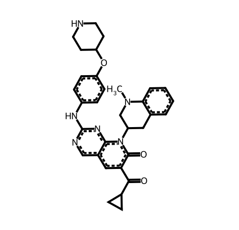 CN1CC(n2c(=O)c(C(=O)C3CC3)cc3cnc(Nc4ccc(OC5CCNCC5)cc4)nc32)Cc2ccccc21